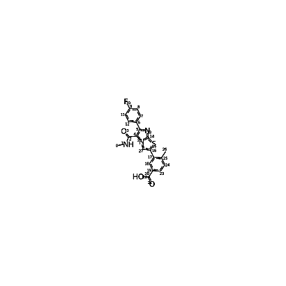 CNC(=O)c1c(-c2ccc(F)cc2)nc2sc(-c3cc(C(=O)O)ccc3C)cn12